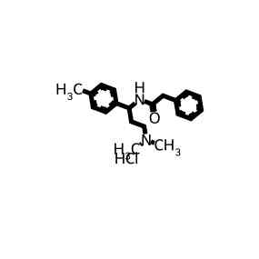 Cc1ccc(C(CCN(C)C)NC(=O)Cc2ccccc2)cc1.Cl